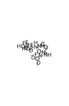 CCOc1cc(OC(C)C)c(F)c(N(Cc2nc(-c3cccc(OC(C)C)c3)c[nH]2)c2ccc(C(=N)N)cc2)c1.O=C(O)C(F)(F)F.O=C(O)C(F)(F)F